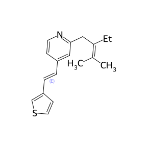 CCC(Cc1cc(/C=C/c2ccsc2)ccn1)=C(C)C